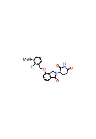 CNc1cccc(COc2cccc3c2CN(C2CCC(=O)NC2=O)C3=O)c1F